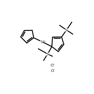 C[Si](C)(C)C1=C[C]([Ti+2][C]2=CC=CC2)([Si](C)(C)C)C=C1.[Cl-].[Cl-]